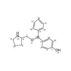 Oc1ccc(B(OCC2CCCN2)c2ccccc2)cc1